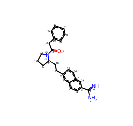 N=C(N)c1ccc2cc(CC[C@H]3CCCN3C(=O)Cc3ccccc3)ccc2c1